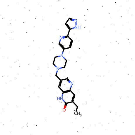 CCc1cc2ncc(CN3CCN(c4ccc(-c5ccn[nH]5)nc4)CC3)cc2[nH]c1=O